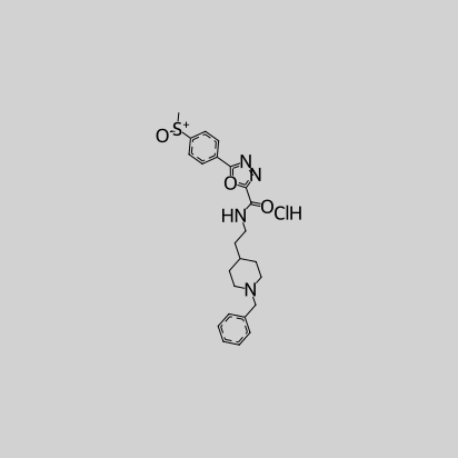 C[S+]([O-])c1ccc(-c2nnc(C(=O)NCCC3CCN(Cc4ccccc4)CC3)o2)cc1.Cl